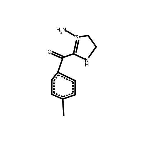 Cc1ccc(C(=O)C2=S(N)CCN2)cc1